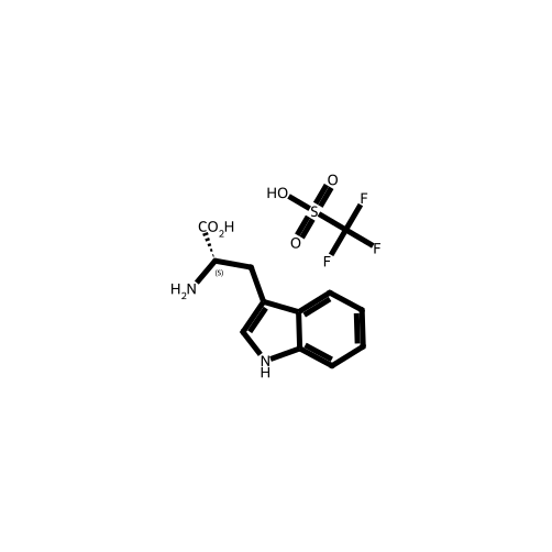 N[C@@H](Cc1c[nH]c2ccccc12)C(=O)O.O=S(=O)(O)C(F)(F)F